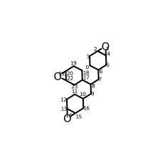 C1CC2OC2CC1CC(CC1CCC2OC2C1)C1CCC2OC2C1